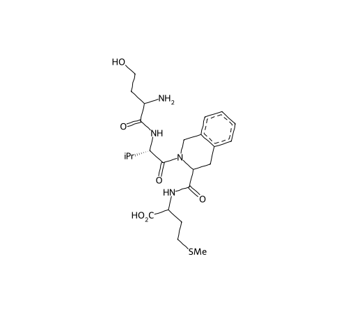 CSCCC(NC(=O)C1Cc2ccccc2CN1C(=O)[C@@H](NC(=O)C(N)CCO)C(C)C)C(=O)O